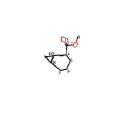 COC(=O)C1CCCC2CC21